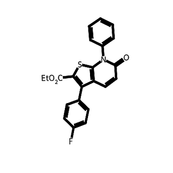 CCOC(=O)c1sc2c(ccc(=O)n2-c2ccccc2)c1-c1ccc(F)cc1